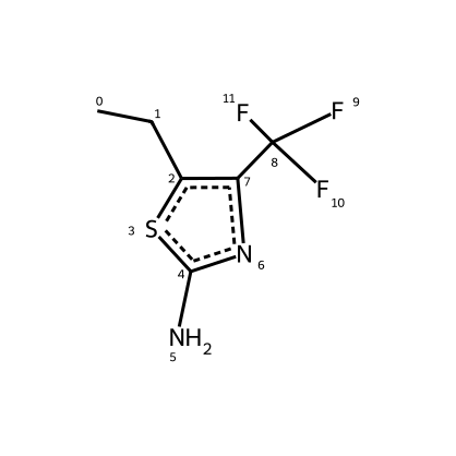 CCc1sc(N)nc1C(F)(F)F